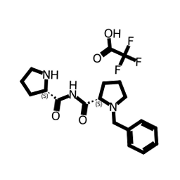 O=C(NC(=O)[C@@H]1CCCN1Cc1ccccc1)[C@@H]1CCCN1.O=C(O)C(F)(F)F